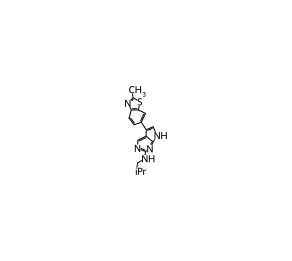 Cc1nc2ccc(-c3c[nH]c4nc(NCC(C)C)ncc34)cc2s1